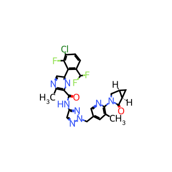 Cc1cc(Cn2ncc(NC(=O)c3nc(-c4c(C(F)F)ccc(Cl)c4F)cnc3C)n2)cnc1N1C[C@H]2C[C@H]2C1=O